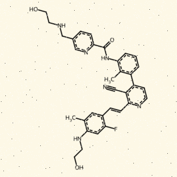 Cc1cc(/C=C/c2nccc(-c3cccc(NC(=O)c4ccc(CNCCO)cn4)c3C)c2C#N)c(F)cc1NCCO